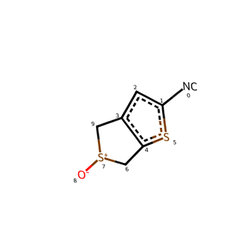 [C-]#[N+]c1cc2c(s1)C[S+]([O-])C2